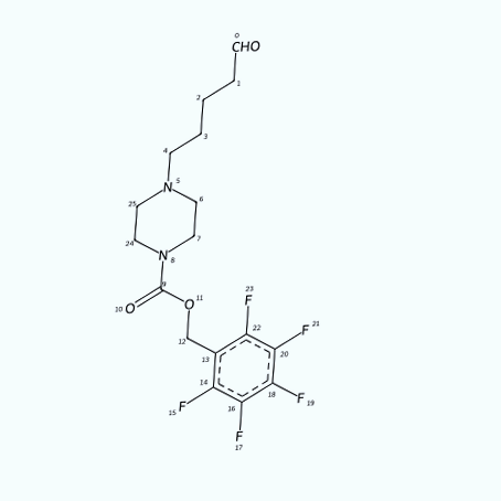 O=CCCCCN1CCN(C(=O)OCc2c(F)c(F)c(F)c(F)c2F)CC1